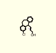 OC/C=C/C1c2ccccc2CCc2ccc(Cl)cc21